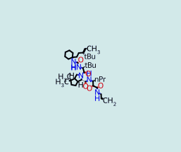 C=CCNC(=O)C(=O)C(CCC)NC(=O)[C@@H]1[C@H]2CCC(C)(C)[C@H]2CN1C(=O)[C@@H](NC(=O)NC1(CC/C(=C/C)C(C)(C)C)CCCCC1)C(C)(C)C